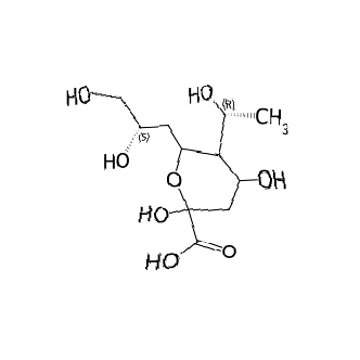 C[C@@H](O)C1C(O)CC(O)(C(=O)O)OC1C[C@H](O)CO